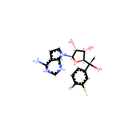 C[C@@](O)(c1ccc(Cl)c(F)c1)[C@H]1O[C@@H](n2ccc3c(N)ncnc32)[C@H](O)[C@@H]1O